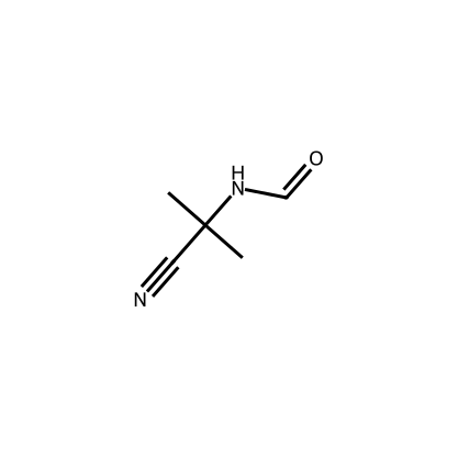 CC(C)(C#N)NC=O